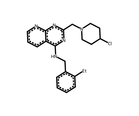 CCc1ccccc1CNc1nc(CN2CCC(Cl)CC2)nc2ncccc12